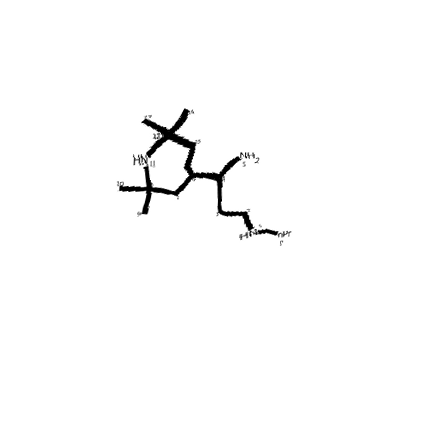 CCCNCCC(N)C1CC(C)(C)NC(C)(C)C1